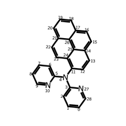 c1ccc(N(c2ccccn2)c2ccc3ccc4cccc5ccc2c3c45)nc1